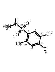 NNS(=O)(=O)c1cc(Cl)c(Cl)cc1Cl